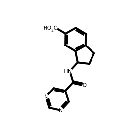 O=C(O)c1ccc2c(c1)C(NC(=O)c1cncnc1)CC2